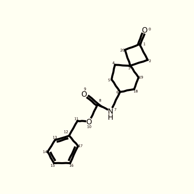 O=C1CC2(CCC(NC(=O)OCc3ccccc3)CC2)C1